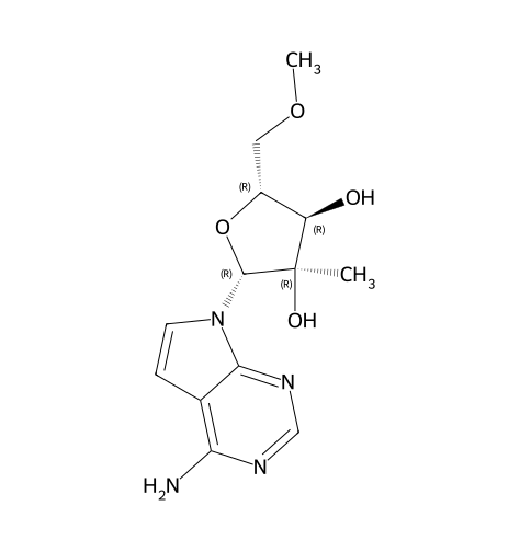 COC[C@H]1O[C@@H](n2ccc3c(N)ncnc32)[C@](C)(O)[C@@H]1O